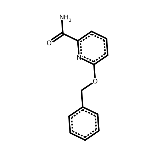 NC(=O)c1cccc(OCc2ccccc2)n1